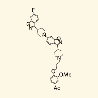 COc1cc(C(C)=O)ccc1OCCCN1CCC(c2noc3cc(N4CCC(c5noc6cc(F)ccc56)CC4)ccc23)CC1